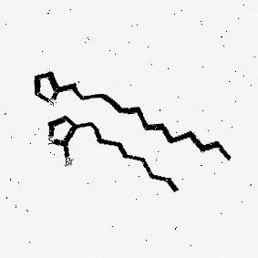 CCCCCCCCCCCCc1cccs1.CCCCCCCCc1ccsc1Br